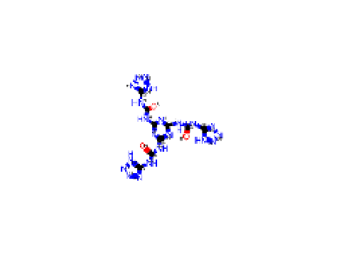 O=C(Nc1nc(NC(=O)Nc2nnn[nH]2)nc(NC(=O)Nc2nnn[nH]2)n1)Nc1nnn[nH]1